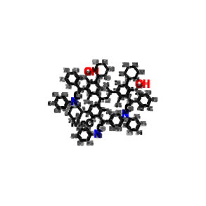 COc1c(C2CCCCC2)cc(C(CC(C)c2cc(C3CCCCC3)c(CO)c(C(=C=Nc3ccccc3)c3ccccc3)c2C)c2cc(C3CCCCC3)c(CO)c(C(=C=Nc3ccccc3)c3ccccc3)c2C)c(C)c1C(=C=Nc1ccccc1)c1ccccc1